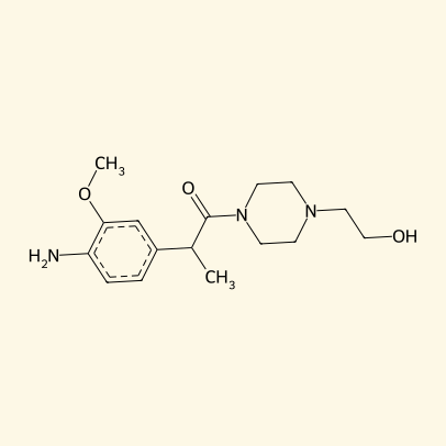 COc1cc(C(C)C(=O)N2CCN(CCO)CC2)ccc1N